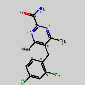 CNc1nc(C(N)=O)nc(C)c1Cc1ccc(Cl)cc1Cl